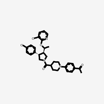 CC(=O)c1ccc(N2CCC(C(=O)N3C[C@H](c4ccc(Cl)cc4)[C@@H](C(C)Oc4ncccc4Cl)C3)CC2)cc1